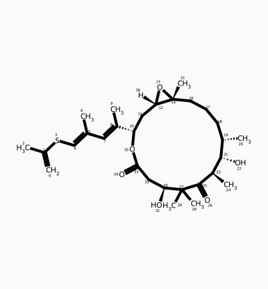 C=C(C)S/C=C(C)/C=C(\C)[C@@H]1C[C@@H]2O[C@]2(C)CCC[C@H](C)[C@H](O)[C@@H](C)C(=O)C(C)(C)[C@@H](O)CC(=O)O1